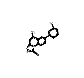 Nc1cc2n[nH]c(=O)n2c2ccc(-c3cccc(O)c3)cc12